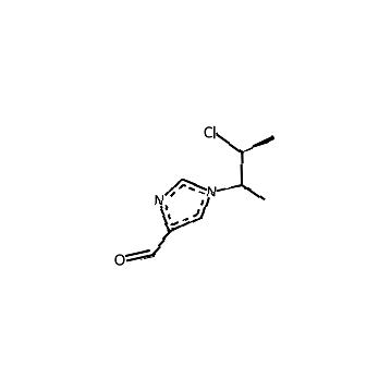 CC([C@H](C)Cl)n1cnc(C=O)c1